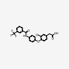 O=C(O)Cc1ccc(Oc2ccc(NC(=O)c3cccc(C(F)(F)F)c3)cc2)c(Cl)c1